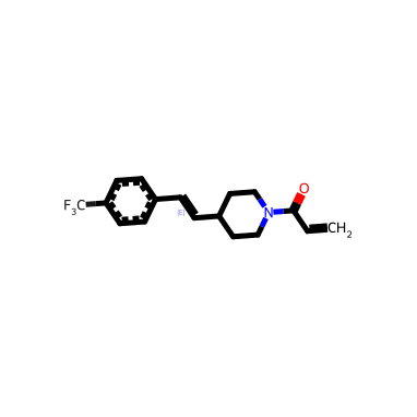 C=CC(=O)N1CCC(/C=C/c2ccc(C(F)(F)F)cc2)CC1